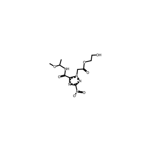 COC(C)NC(=O)c1nc([N+](=O)[O-])nn1CC(=O)OCCO